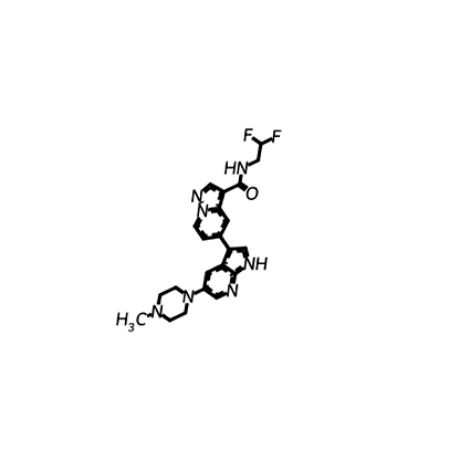 CN1CCN(c2cnc3[nH]cc(-c4ccn5ncc(C(=O)NCC(F)F)c5c4)c3c2)CC1